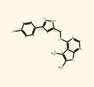 Cc1sc2ncnc(OCc3cc(-c4ccc(F)cc4)no3)c2c1C